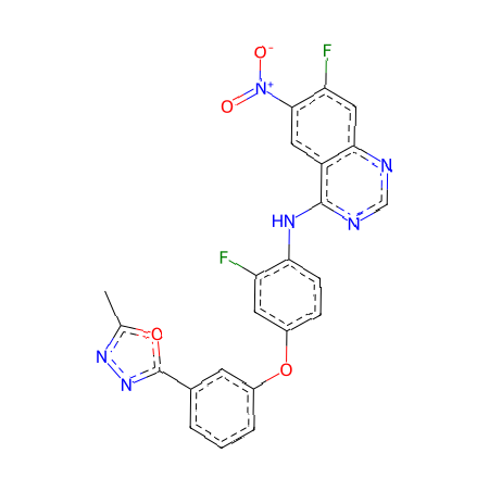 Cc1nnc(-c2cccc(Oc3ccc(Nc4ncnc5cc(F)c([N+](=O)[O-])cc45)c(F)c3)c2)o1